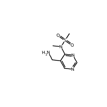 CN(c1ncncc1CN)S(C)(=O)=O